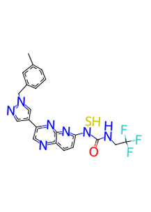 Cc1cccc(Cn2cc(-c3cnc4ccc(N(S)C(=O)NCC(F)(F)F)nc4n3)cn2)c1